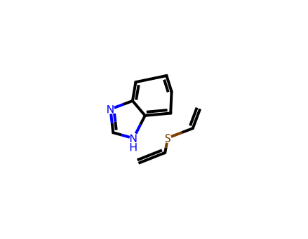 C=CSC=C.c1ccc2[nH]cnc2c1